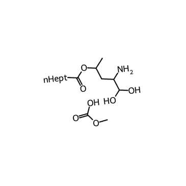 CCCCCCCC(=O)OC(C)CC(N)C(O)O.COC(=O)O